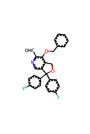 O=Cc1ncc2c(c1OCc1ccccc1)COC2(c1ccc(F)cc1)c1ccc(F)cc1